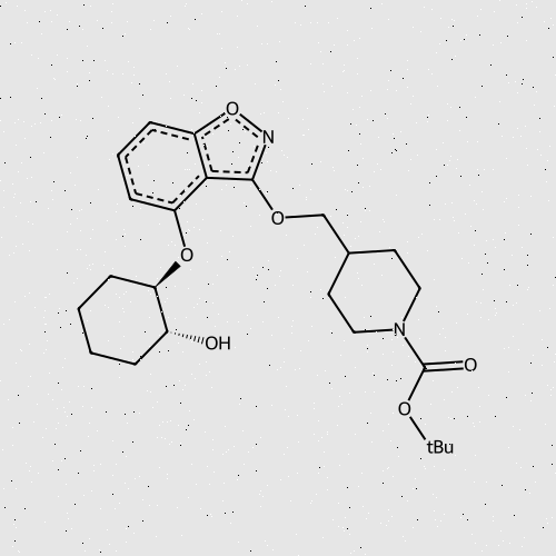 CC(C)(C)OC(=O)N1CCC(COc2noc3cccc(O[C@@H]4CCCC[C@H]4O)c23)CC1